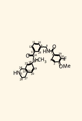 COc1ccc(C(=O)NCc2cccc(C(=O)N(C)c3ccc4c(c3)CNCC4)c2)cc1F